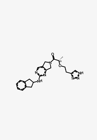 C[C@H](OCCc1c[nH]nn1)C(=O)N1Cc2cnc(NC3Cc4ccccc4C3)nc2C1